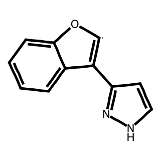 [c]1oc2ccccc2c1-c1cc[nH]n1